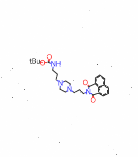 CC(C)(C)OC(=O)NCCCN1CCN(CCCN2C(=O)c3cccc4cccc(c34)C2=O)CC1